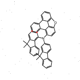 CC1(C)c2ccccc2-c2ccc(N(c3cccc4c3-c3ccccc3C4(C)C)c3ccc4oc5cccc6c7ccccc7c3c4c56)cc21